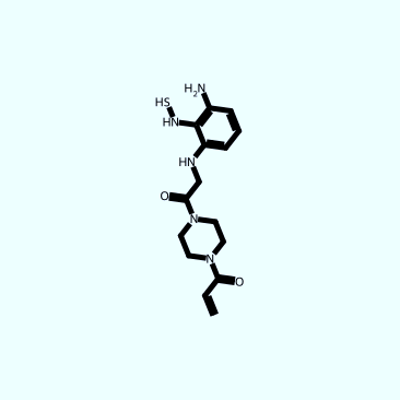 C=CC(=O)N1CCN(C(=O)CNc2cccc(N)c2NS)CC1